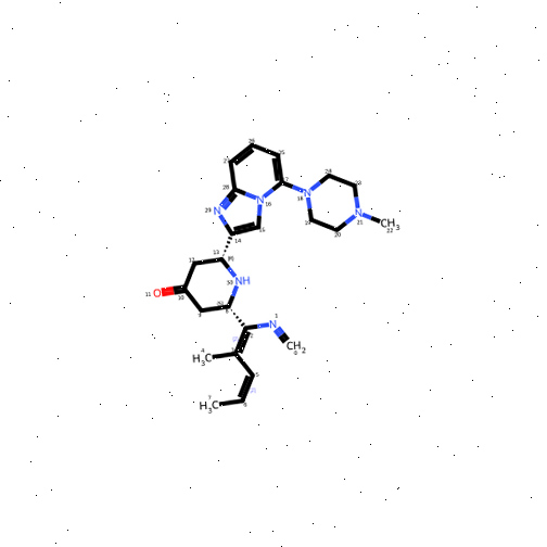 C=N/C(=C(C)\C=C/C)[C@@H]1CC(=O)C[C@H](c2cn3c(N4CCN(C)CC4)cccc3n2)N1